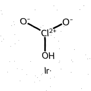 [Ir].[O-][Cl+2]([O-])O